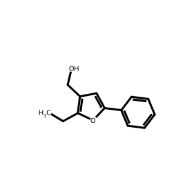 CCc1oc(-c2ccccc2)cc1CO